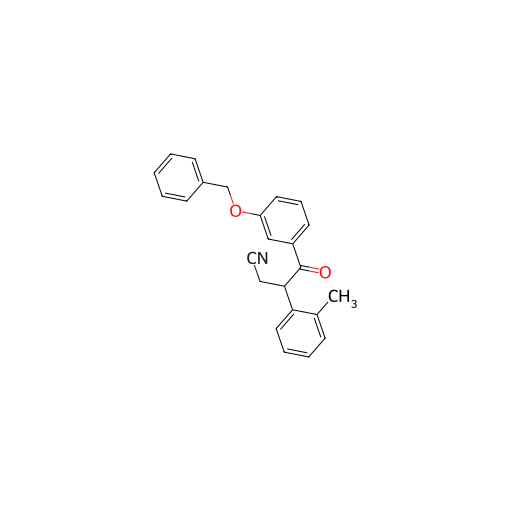 Cc1ccccc1C(CC#N)C(=O)c1cccc(OCc2ccccc2)c1